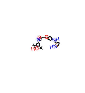 CC(C)(C)c1cc(C2=NOC(CCOc3ccc(NCC4=CC=CS4=N)cc3)C2)cc(C(C)(C)C)c1O